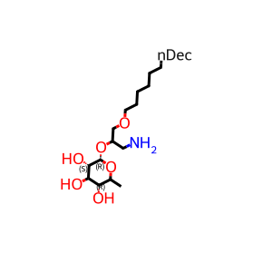 CCCCCCCCCCCCCCCCOCC(CN)O[C@@H]1OC(C)[C@H](O)C(O)[C@@H]1O